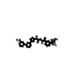 Cc1cc(-c2cccc(-c3csc(NC(=O)CNC(=O)c4cccc(C(C)(C)CO)c4)n3)n2)ncn1